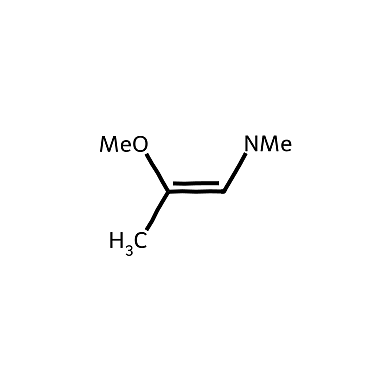 CN/C=C(/C)OC